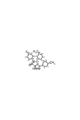 Cc1ccc(-c2n[nH]c3c2C(c2cccc(C)c2)N(c2ccc(F)cc2)C3=O)cc1